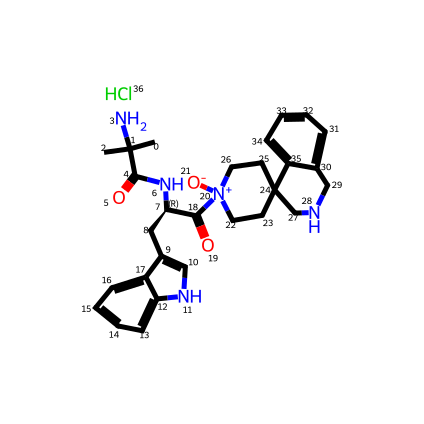 CC(C)(N)C(=O)N[C@H](Cc1c[nH]c2ccccc12)C(=O)[N+]1([O-])CCC2(CC1)CNCc1ccccc12.Cl